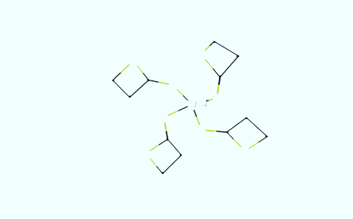 C1CC([S][SbH]([S]C2CCS2)([S]C2CCS2)[S]C2CCS2)S1